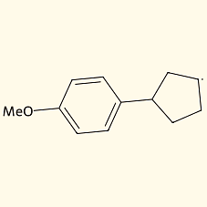 COc1ccc(C2C[CH]CC2)cc1